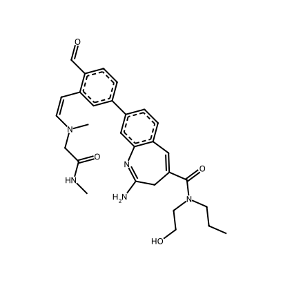 CCCN(CCO)C(=O)C1=Cc2ccc(-c3ccc(C=O)c(/C=C\N(C)CC(=O)NC)c3)cc2N=C(N)C1